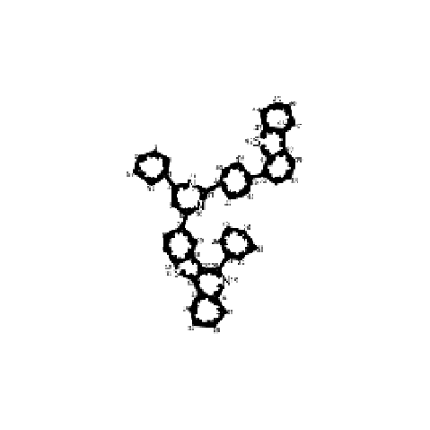 c1ccc(-c2cc(-c3ccc4sc5c6ccccc6nc(-c6ccccc6)c5c4c3)nc(-c3ccc(-c4cccc5c4sc4ccccc45)cc3)n2)cc1